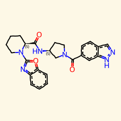 O=C(N[C@H]1CCN(C(=O)c2ccc3cn[nH]c3c2)C1)[C@@H]1CCCCN1c1nc2ccccc2o1